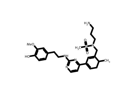 COc1cc(CCNc2nccc(C3=CCC(C)C(CN(CCCN)S(C)(=O)=O)=C3)n2)ccc1O